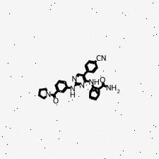 N#Cc1ccc(-c2cnc(Nc3cccc(C(=O)N4CCCC4)c3)nc2NC2C3C=CC(C3)C2C(N)=O)cc1